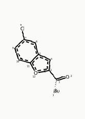 CC[C@@H](C)C(=O)c1cc2cc(Cl)ccc2o1